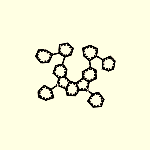 c1ccc(-c2ccccc2-c2ccc3c(c2)c2c4c5cc(-c6ccccc6-c6ccccc6)ccc5n(-c5ccccc5)c4ccc2n3-c2ccccc2)cc1